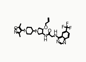 C=CCO[C@H]1CN(C2CCN(c3c(C)noc3C)CC2)CC1NC(=O)CNc1ncnc2ccc(C(F)(F)F)cc12